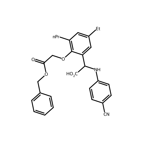 CCCc1cc(CC)cc(C(Nc2ccc(C#N)cc2)C(=O)O)c1OCC(=O)OCc1ccccc1